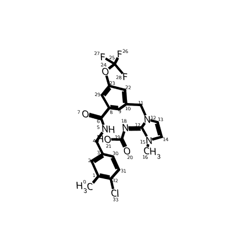 Cc1cc(CNC(=O)c2cc(Cn3ccn(C)/c3=N\C(=O)O)cc(OC(F)(F)F)c2)ccc1Cl